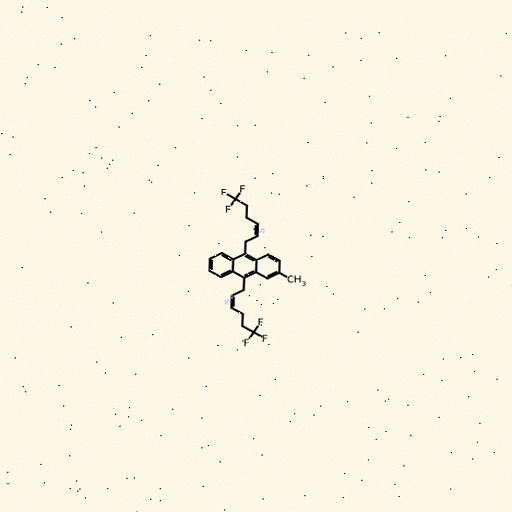 Cc1ccc2c(C/C=C\CCC(F)(F)F)c3ccccc3c(C/C=C\CCC(F)(F)F)c2c1